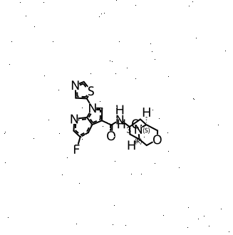 CN1[C@@H]2COC[C@H]1CC(NC(=O)c1cn(-c3cncs3)c3ncc(F)cc13)C2